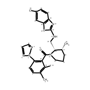 Cc1ccc(-n2nccn2)c(C(=O)N2CCC[C@@H](C)[C@H]2CNc2nc3ccc(Cl)cc3o2)c1F